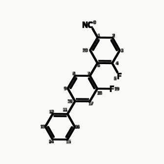 N#Cc1ccc(F)c(-c2ccc(-c3ccccc3)cc2F)c1